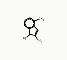 CC1=Cc2c(C)cccc2[CH]1[Hf]